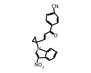 N#Cc1ccc(C(=O)/C=C/C2(n3cc([N+](=O)[O-])c4ccccc43)CC2)cc1